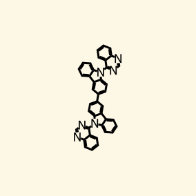 c1ccc2c(-n3c4ccccc4c4cc(-c5ccc6c(c5)c5ccccc5n6-c5ncnc6ccccc56)ccc43)ncnc2c1